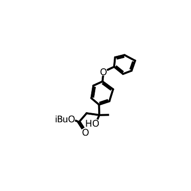 CC(C)COC(=O)CC(C)(O)c1ccc(Oc2ccccc2)cc1